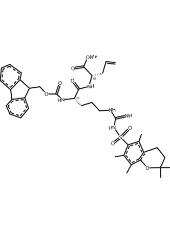 C=CC[C@H](NC(=O)[C@H](CCCNC(=N)NS(=O)(=O)c1c(C)c(C)c2c(c1C)CCC(C)(C)O2)NC(=O)OCC1c2ccccc2-c2ccccc21)C(=O)OC